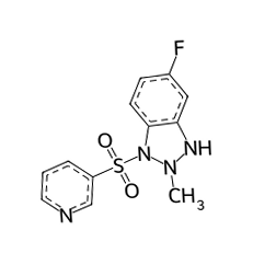 CN1Nc2cc(F)ccc2N1S(=O)(=O)c1cccnc1